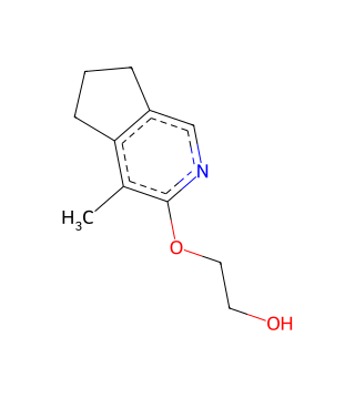 Cc1c(OCCO)ncc2c1CCC2